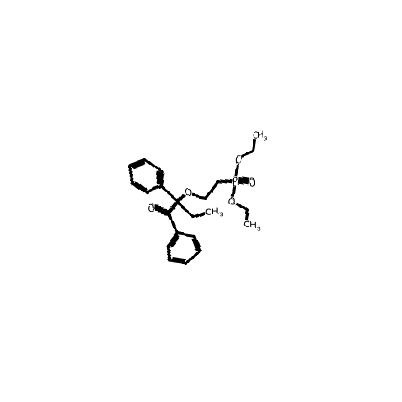 CCOP(=O)(CCOC(CC)(C(=O)c1ccccc1)c1ccccc1)OCC